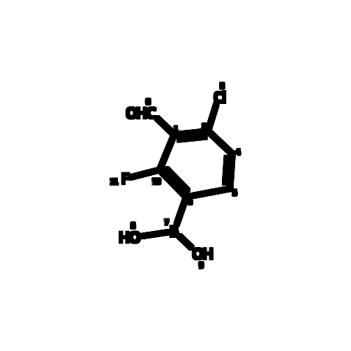 O=Cc1c(Cl)ccc(B(O)O)c1F